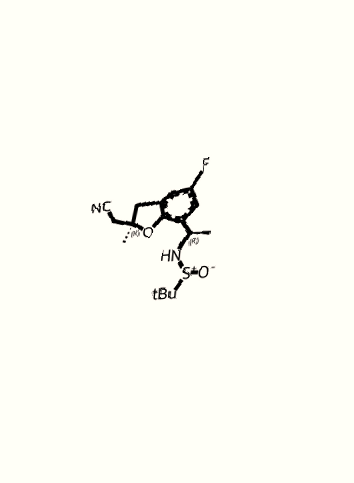 C[C@@H](N[S+]([O-])C(C)(C)C)c1cc(F)cc2c1O[C@@](C)(CC#N)C2